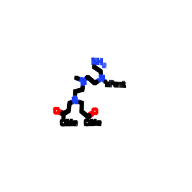 CCCCCN(CCN)CCN(C)CCN(CCC(=O)OC)CCC(=O)OC